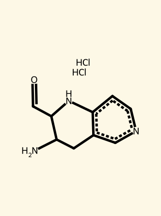 Cl.Cl.NC1Cc2cnccc2NC1C=O